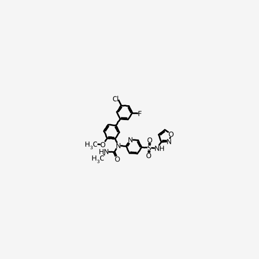 CNC(=O)N(c1ccc(S(=O)(=O)Nc2ccon2)cn1)c1cc(-c2cc(F)cc(Cl)c2)ccc1OC